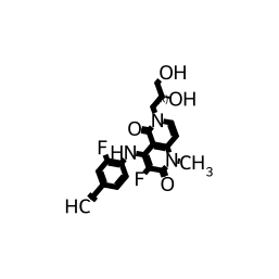 C#Cc1ccc(Nc2c(F)c(=O)n(C)c3ccn(C[C@@H](O)CO)c(=O)c23)c(F)c1